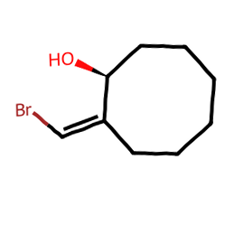 O[C@H]1CCCCCCC1=CBr